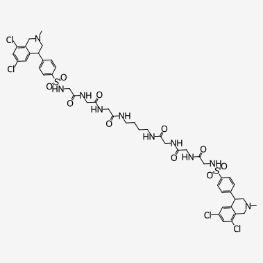 CN1Cc2c(Cl)cc(Cl)cc2C(c2ccc(S(=O)(=O)NCC(=O)NCC(=O)NCC(=O)NCCCCNC(=O)CNC(=O)CNC(=O)CNS(=O)(=O)c3ccc(C4CN(C)Cc5c(Cl)cc(Cl)cc54)cc3)cc2)C1